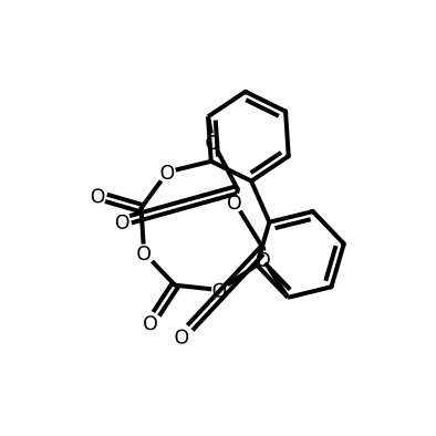 O=C1OC(=O)Oc2cccc3c2oc(=O)oc(=O)oc2c(cccc23)O1